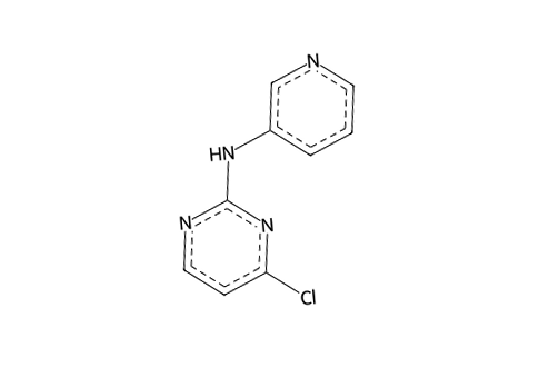 Clc1ccnc(Nc2cccnc2)n1